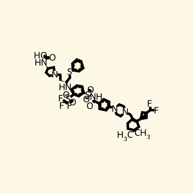 CC1(C)CCC(CN2CCN(c3ccc(C(=O)NS(=O)(=O)c4ccc(N[C@H](CCN5CC[C@H](NC(=O)O)C5)CSc5ccccc5)c(S(=O)(=O)C(F)(F)F)c4)cc3)CC2)=C(C23CC(C(F)F)(C2)C3)C1